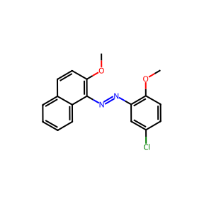 COc1ccc(Cl)cc1N=Nc1c(OC)ccc2ccccc12